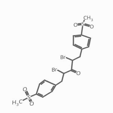 CS(=O)(=O)c1ccc(CC(Br)C(=O)C(Br)Cc2ccc(S(C)(=O)=O)cc2)cc1